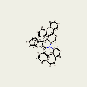 CC/C=C\C1=C(C)N(c2cccc3ccc4c(c23)=C=C=CC=4)C2C=CC(c3ccccc3)=CC2C1(c1ccccc1)c1ccccc1